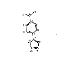 CC(C)c1ccc(-c2cnco2)nc1